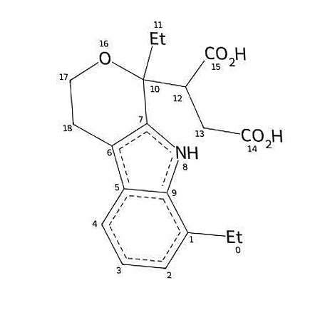 CCc1cccc2c3c([nH]c12)C(CC)(C(CC(=O)O)C(=O)O)OCC3